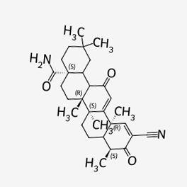 C[C@@H]1C(=O)C(C#N)=C[C@]2(C)C3=CC(=O)C4C5CC(C)(C)CC[C@]5(C(N)=O)CC[C@@]4(C)[C@]3(C)CCC12